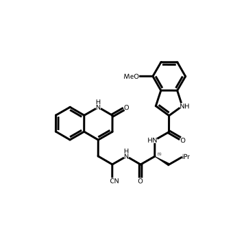 COc1cccc2[nH]c(C(=O)N[C@@H](CC(C)C)C(=O)NC(C#N)Cc3cc(=O)[nH]c4ccccc34)cc12